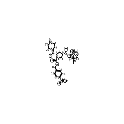 CN1CCN(C(=O)[C@@H]2C[C@H](S)CN2C(=O)OCc2ccc([N+](=O)[O-])cc2)CC1.O=S(=O)(O)C(F)(F)F